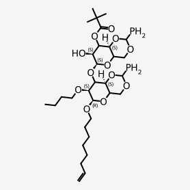 C=CCCCCCCO[C@@H]1OC2COC(P)O[C@@H]2C(O[C@@H]2OC3COC(P)O[C@@H]3C(OC(=O)C(C)(C)C)[C@@H]2O)[C@@H]1OCCCC